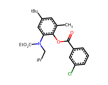 CCOC(=O)N(CC(C)C)c1cc(C(C)(C)C)cc(C)c1OC(=O)c1cccc(Cl)c1